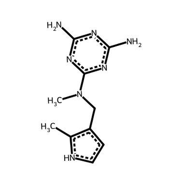 Cc1[nH]ccc1CN(C)c1nc(N)nc(N)n1